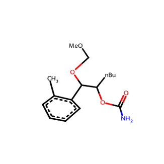 CCCCC(OC(N)=O)C(OCOC)c1ccccc1C